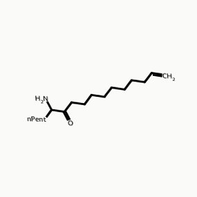 C=CCCCCCCCCC(=O)C(N)CCCCC